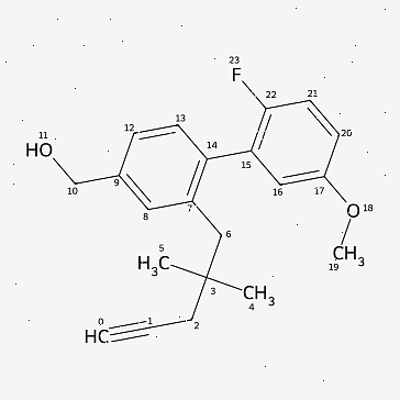 C#CCC(C)(C)Cc1cc(CO)ccc1-c1cc(OC)ccc1F